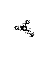 O=C(Nc1nccs1)c1cc(OC2CCOC2)cc(Sc2nnc[nH]2)c1